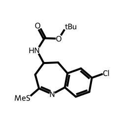 CSC1=Nc2ccc(Cl)cc2CC(NC(=O)OC(C)(C)C)C1